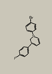 Fc1ccc(C2=CC=CN(c3ccc(Br)cc3)C2)cc1